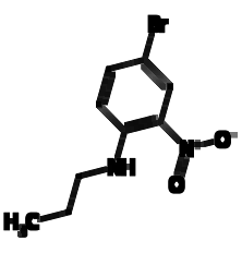 CCCNc1ccc(Br)cc1[N+](=O)[O-]